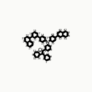 c1ccc(-c2c(-c3cccc(N(c4ccc(-c5cccc(-c6cccc7ccccc67)c5)cc4)c4ccc(-c5ccc6ccccc6c5)cc4)c3)oc3ccccc23)cc1